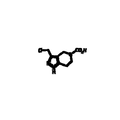 O=C(O)N1CCc2[nH]nc(CCl)c2C1